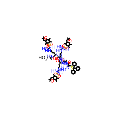 Cc1c(C)c(S(=O)(=O)NC(=N)NCCC[C@@H](NC(=O)[C@@H](C)NC(=O)[C@H](N)CSC(c2ccccc2)(c2ccccc2)c2ccccc2)C(=O)N[C@H](CCCNC(=N)NS(=O)(=O)c2c(C)c(C)c3c(c2C)CC(C)(C)O3)C(=O)N[C@H](CCCNC(=N)NS(=O)(=O)c2c(C)c(C)c3c(c2C)CC(C)(C)O3)C(=O)N[C@H](C)C(=O)O)c(C)c2c1OC(C)(C)C2